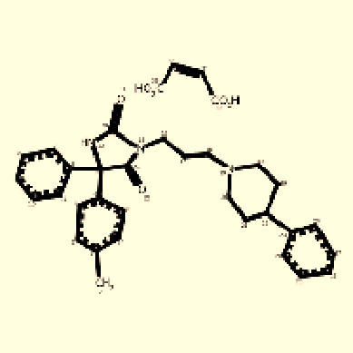 Cc1ccc(C2(c3ccccc3)NC(=O)N(CCCN3CCC(c4ccccc4)CC3)C2=O)cc1.O=C(O)/C=C\C(=O)O